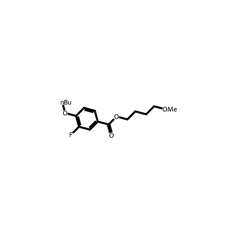 CCCCOc1ccc(C(=O)OCCCCOC)cc1F